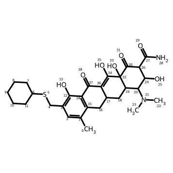 Cc1cc(CSC2CCCCC2)c(O)c2c1CC1CC3C(N(C)C)C(O)C(C(N)=O)C(=O)C3(O)C(O)=C1C2=O